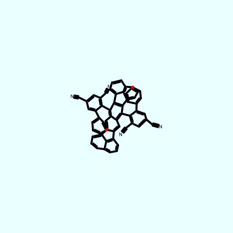 N#Cc1cc(C#N)c(-c2c3cc4c(cc3c(-c3c(C#N)cc(C#N)cc3-c3ccccc3)c3c5cccc6cccc(c23)c65)c2cccc3cccc4c32)c(-c2ccccc2)c1